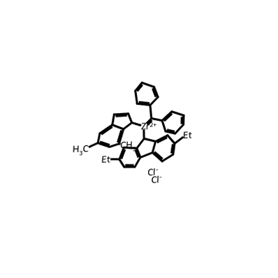 CCc1ccc2c(c1)[CH]([Zr+2](=[C](c1ccccc1)c1ccccc1)[CH]1C=Cc3cc(C)cc(C)c31)c1cc(CC)ccc1-2.[Cl-].[Cl-]